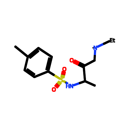 CC[N]CC(=O)C(C)NS(=O)(=O)c1ccc(C)cc1